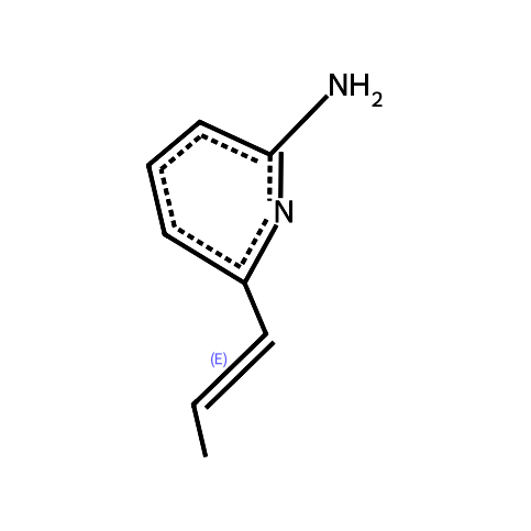 C/C=C/c1cccc(N)n1